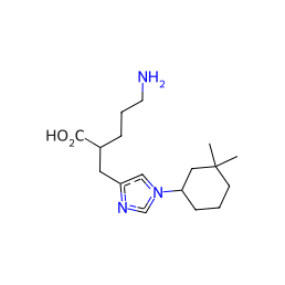 CC1(C)CCCC(n2cnc(CC(CCCN)C(=O)O)c2)C1